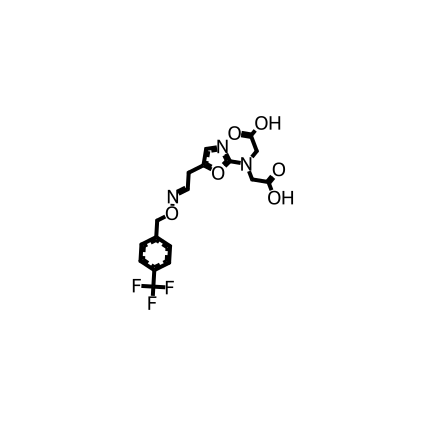 O=C(O)CN(CC(=O)O)c1ncc(CC=NOCc2ccc(C(F)(F)F)cc2)o1